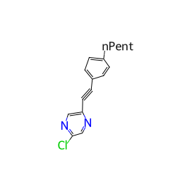 CCCCCc1ccc(C#Cc2cnc(Cl)cn2)cc1